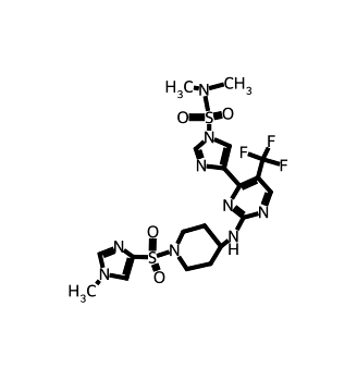 CN(C)S(=O)(=O)n1cnc(-c2nc(NC3CCN(S(=O)(=O)c4cn(C)cn4)CC3)ncc2C(F)(F)F)c1